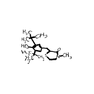 CN1CCSC(Cc2cc(C(C)(C)C)c(O)c(C(C)(C)C)c2)C1=O